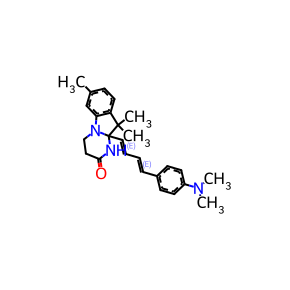 Cc1ccc2c(c1)N1CCC(=O)NC1(/C=C/C=C/c1ccc(N(C)C)cc1)C2(C)C